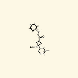 COC1(C2CCCN(C)C2)CN(C(=O)OCc2ccccc2)C1